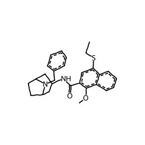 CCSc1cc(C(=O)NC2CC3CCC(C2)N3Cc2ccccc2)c(OC)c2ccccc12